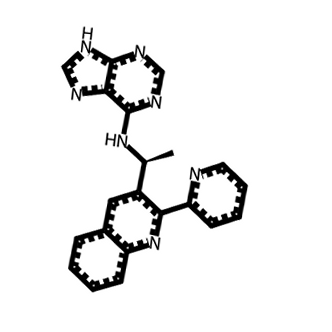 C[C@H](Nc1ncnc2[nH]cnc12)c1cc2ccccc2nc1-c1ccccn1